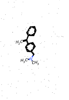 C=C(c1ccccc1)c1ccc(CN(C)C)cc1